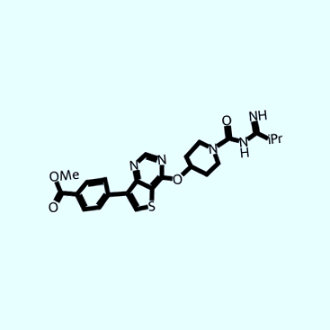 COC(=O)c1ccc(-c2csc3c(OC4CCN(C(=O)NC(=N)C(C)C)CC4)ncnc23)cc1